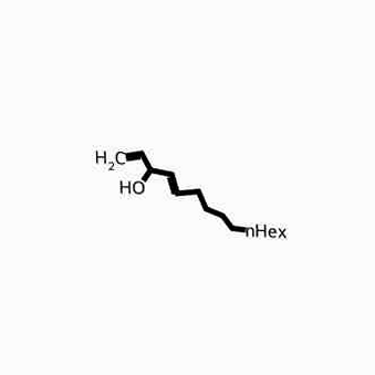 C=CC(O)C=CCCCCCCCCCC